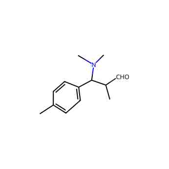 Cc1ccc(C(C(C)C=O)N(C)C)cc1